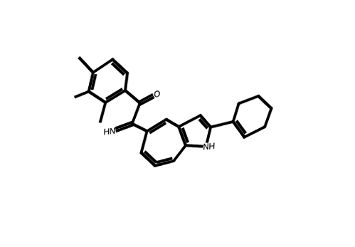 Cc1ccc(C(=O)C(=N)C2=Cc3cc(C4=CCCCC4)[nH]c3C=C=C2)c(C)c1C